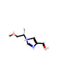 COC[C@H](C)n1cnc(C=O)c1